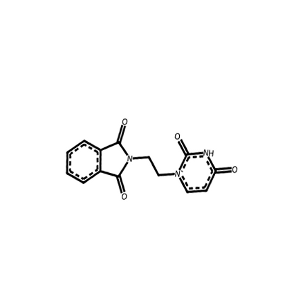 O=C1c2ccccc2C(=O)N1CCn1ccc(=O)[nH]c1=O